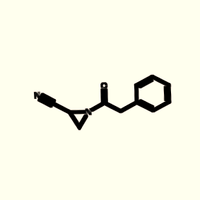 N#CC1CN1C(=O)Cc1ccccc1